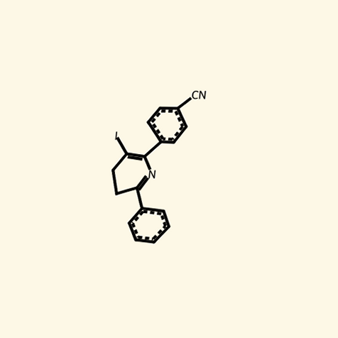 N#Cc1ccc(C2=C(I)CCC(c3ccccc3)=N2)cc1